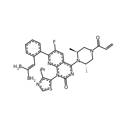 BC(B)=Cc1ccccc1-c1nc2c(cc1F)c(N1[C@@H](C)CN(C(=O)C=C)C[C@@H]1C)nc(=O)n2-c1scnc1C(C)C